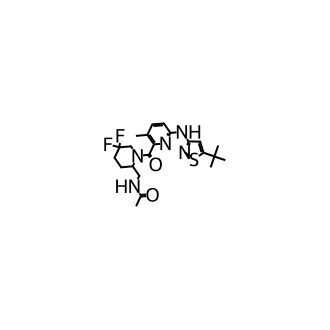 CC(=O)NCC1CCC(F)(F)CN1C(=O)c1nc(Nc2cc(C(C)(C)C)sn2)ccc1C